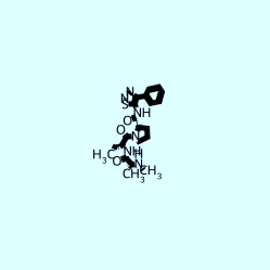 CC[C@H](NC(=O)[C@H](C)NC)C(=O)N1CCC[C@H]1C(=O)Nc1snnc1-c1ccccc1